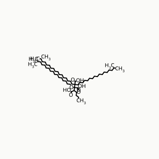 CCCC(=O)C(C(=O)O)C(OCCCCCCCCCCCCCCCC(C)C)(C(=O)O)C(CCCCCCCCCCCCCCCC(C)C)(CCCCCCCCCCCCCCCC(C)C)C(=O)O